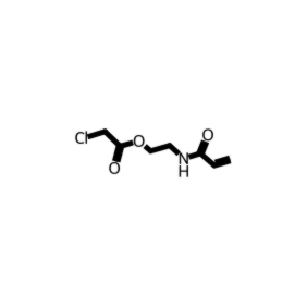 C=CC(=O)NCCOC(=O)CCl